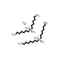 CCCCCCCC[N+](C)(C)CCCCCCCC.CCCCCCC[N+](C)(C)CCCCCCC.[Cl-].[I-]